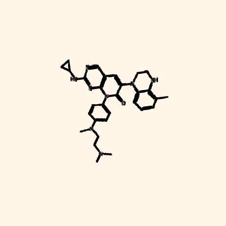 Cc1cccc2c1NCCN2c1cc2cnc(NC3CC3)nc2n(-c2ccc(N(C)CCN(C)C)cc2)c1=O